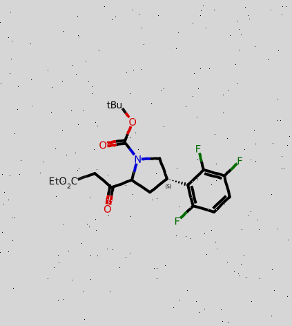 CCOC(=O)CC(=O)C1C[C@@H](c2c(F)ccc(F)c2F)CN1C(=O)OC(C)(C)C